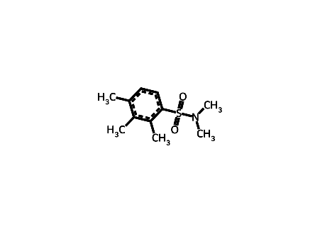 Cc1ccc(S(=O)(=O)N(C)C)c(C)c1C